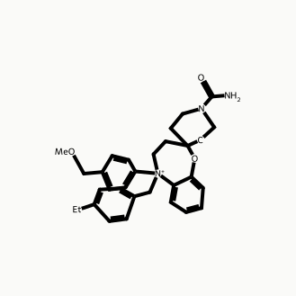 CCc1ccc(C[N+]2(c3ccc(COC)cc3)CCC3(CCN(C(N)=O)CC3)Oc3ccccc32)cc1